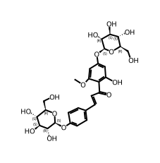 COc1cc(O[C@@H]2O[C@H](CO)[C@@H](O)[C@H](O)[C@H]2O)cc(O)c1C(=O)C=Cc1ccc(O[C@@H]2O[C@H](CO)[C@@H](O)[C@H](O)[C@H]2O)cc1